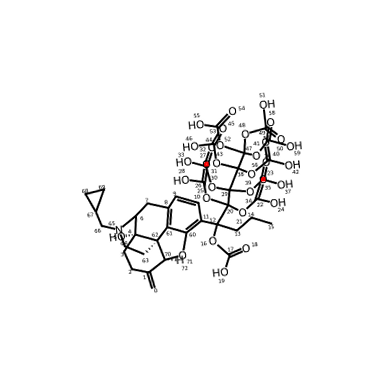 C=C1CC[C@@]2(O)C3Cc4ccc(C(CCC)(OC(=O)O)C(OC(=O)O)(OC(=O)O)C(OC(=O)O)(OC(=O)O)C(OC(=O)O)(OC(=O)O)C(OC(=O)O)(OC(=O)O)OC(=O)O)c5c4[C@@]2(CCN3CC2CC2)[C@H]1O5